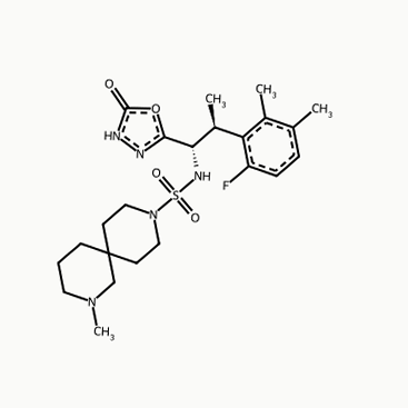 Cc1ccc(F)c([C@H](C)[C@H](NS(=O)(=O)N2CCC3(CCCN(C)C3)CC2)c2n[nH]c(=O)o2)c1C